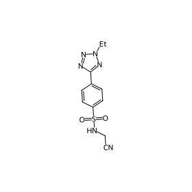 CCn1nnc(-c2ccc(S(=O)(=O)NCC#N)cc2)n1